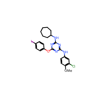 COc1ccc(Nc2nc(NC3CCCCCC3)nc(Oc3ccc(I)cc3)n2)cc1Cl